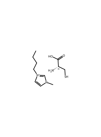 CCCC[n+]1ccn(C)c1.N[C@@H](CS)C(=O)O